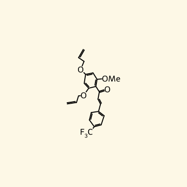 C=CCOc1cc(OC)c(C(=O)C=Cc2ccc(C(F)(F)F)cc2)c(OCC=C)c1